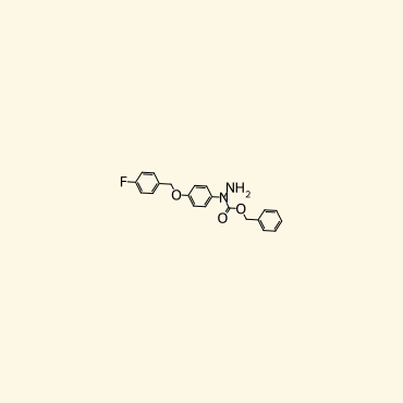 NN(C(=O)OCc1ccccc1)c1ccc(OCc2ccc(F)cc2)cc1